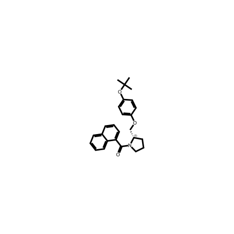 CC(C)(C)Oc1ccc(OC[C@@H]2CCCN2C(=O)c2cccc3ccccc23)cc1